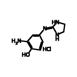 Cl.Nc1cc(N=C2NCCN2)ccc1O